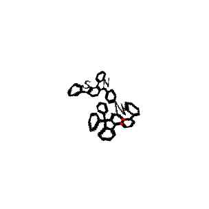 c1ccc(-c2ccccc2N(c2ccc(-c3nc4ccccc4c4c3ccc3c5ccccc5sc34)cc2)c2ccc3c(c2)C(c2ccccc2)(c2ccccc2)c2ccccc2-3)cc1